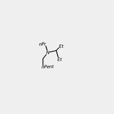 CCCCCCN(CCC)C(CC)CC